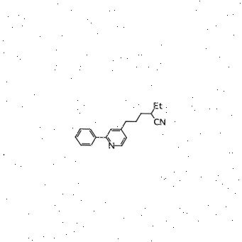 CCC(C#N)CCCc1ccnc(-c2ccccc2)c1